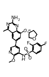 COc1ncc(-c2cc(O[C@@H]3CCOC3)c3nc(N)nc(C)c3c2)cc1NS(=O)(=O)c1ccc(F)cc1F